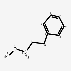 CC(C)O[SiH2]CCc1ccccc1